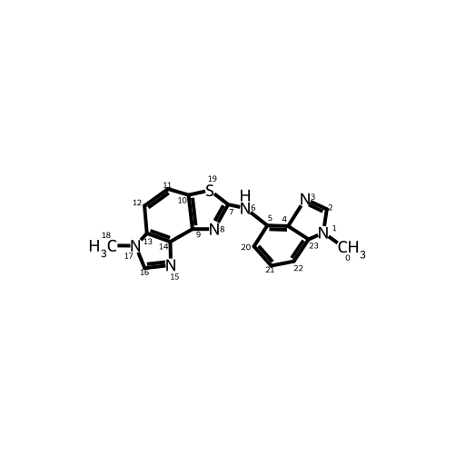 Cn1cnc2c(Nc3nc4c(ccc5c4ncn5C)s3)cccc21